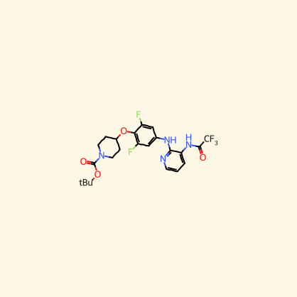 CC(C)(C)OC(=O)N1CCC(Oc2c(F)cc(Nc3ncccc3NC(=O)C(F)(F)F)cc2F)CC1